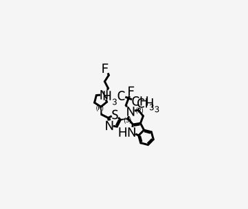 C[C@@H]1Cc2c([nH]c3ccccc23)[C@@H](c2cnc(C[C@H]3CCN(CCCF)C3)s2)N1CC(C)(C)F